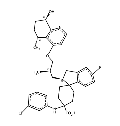 C[C@@H](COc1ccnc2c1[C@H](C)CC[C@H]2O)C[C@H]1Cc2cc(F)ccc2C12CCC(Nc1cccc(Cl)c1)(C(=O)O)CC2